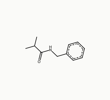 CC(C)C(=O)NCc1ccccc1